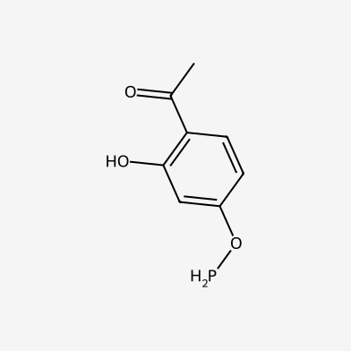 CC(=O)c1ccc(OP)cc1O